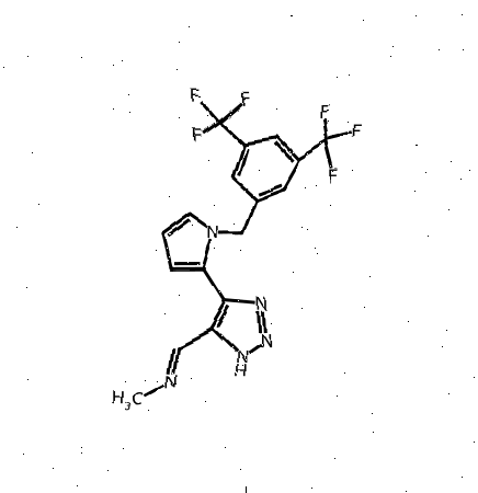 C/N=C/c1[nH]nnc1-c1cccn1Cc1cc(C(F)(F)F)cc(C(F)(F)F)c1